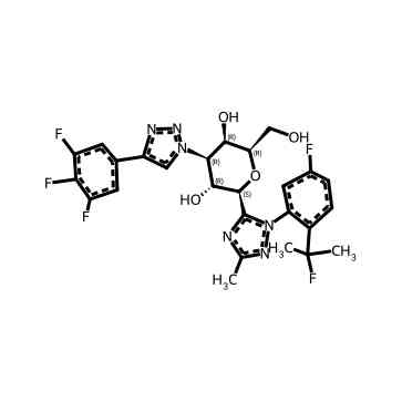 Cc1nc([C@@H]2O[C@H](CO)[C@H](O)[C@H](n3cc(-c4cc(F)c(F)c(F)c4)nn3)[C@H]2O)n(-c2cc(F)ccc2C(C)(C)F)n1